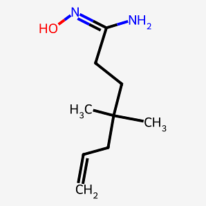 C=CCC(C)(C)CC/C(N)=N\O